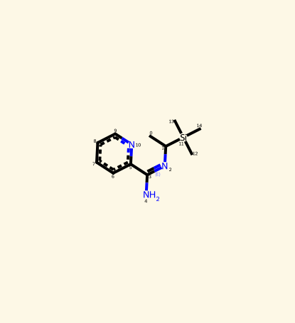 CC(/N=C(/N)c1cc[c]cn1)[Si](C)(C)C